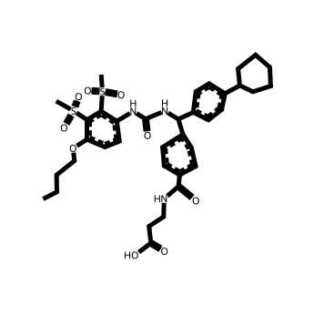 CCCCOc1ccc(NC(=O)NC(c2ccc(C(=O)NCCC(=O)O)cc2)c2ccc(C3CCCCC3)cc2)c(S(C)(=O)=O)c1S(C)(=O)=O